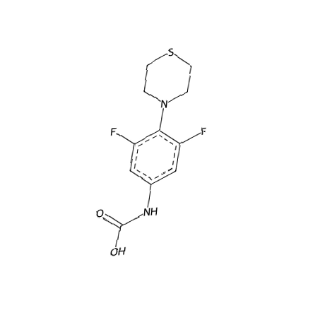 O=C(O)Nc1cc(F)c(N2CCSCC2)c(F)c1